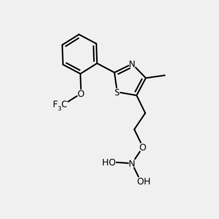 Cc1nc(-c2ccccc2OC(F)(F)F)sc1CCON(O)O